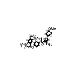 C/C=C(/Oc1ccc(NC(=O)c2nn(-c3cnc(OC)nc3)cc2OCC)nc1)c1cc(OC)c(OC)cc1NC